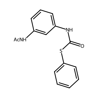 CC(=O)Nc1cccc(NC(=O)Sc2ccccc2)c1